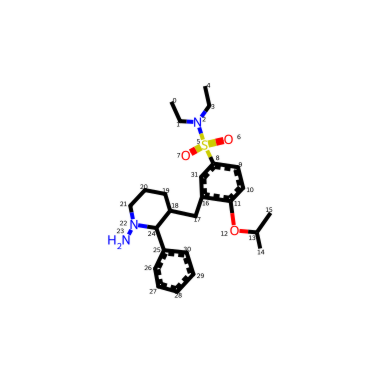 CCN(CC)S(=O)(=O)c1ccc(OC(C)C)c(CC2CCCN(N)C2c2ccccc2)c1